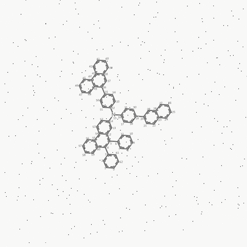 c1ccc(-c2c(-c3ccccc3)c3cc(N(c4ccc(-c5ccc6ccccc6c5)cc4)c4ccc(-c5cc6ccccc6c6ccccc56)cc4)ccc3c3ccccc23)cc1